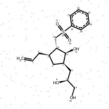 C=CC[C@@H]1C[C@H](C[C@H](O)CO)[C@H](O)[C@H]1CS(=O)(=O)c1ccccc1